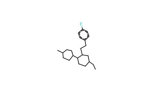 CCC1CCC(C2CCC(C)CC2)C(CCc2ccc(F)cc2)C1